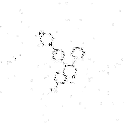 Oc1ccc2c(c1)OCC(c1ccccc1)C2c1ccc(N2CCNCC2)cc1